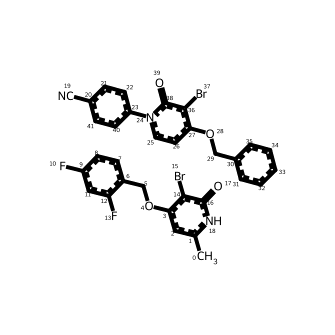 Cc1cc(OCc2ccc(F)cc2F)c(Br)c(=O)[nH]1.N#Cc1ccc(-n2ccc(OCc3ccccc3)c(Br)c2=O)cc1